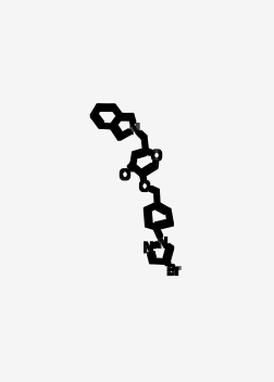 O=c1cc(Cn2cc3ccccc3c2)occ1OCc1ccc(-n2cc(Br)cn2)cc1